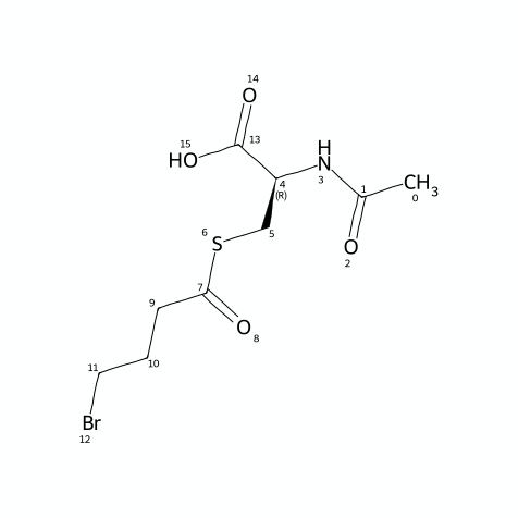 CC(=O)N[C@@H](CSC(=O)CCCBr)C(=O)O